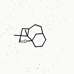 CC(=O)OC12CCCC(CCC3CC(C)(C)C31C)C2